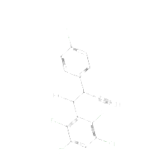 C#CC(c1ccc(F)cc1)C(CC)c1c(F)c(F)cc(Cl)c1F